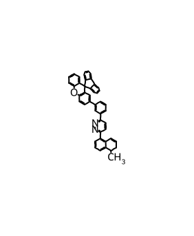 CC1CC=Cc2c(-c3ccc(-c4cccc(-c5ccc6c(c5)C5(c7ccccc7O6)c6ccccc6-c6ccccc65)c4)nn3)cccc21